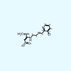 CN/C(=C/[N+](=O)[O-])NCCSCc1ncccc1Cl